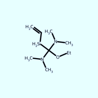 C=C[SiH2]C(OCC)(N(C)C)N(C)C